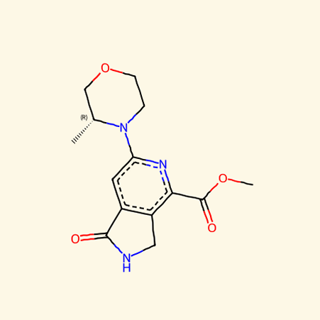 COC(=O)c1nc(N2CCOC[C@H]2C)cc2c1CNC2=O